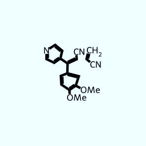 C=CC#N.COc1ccc(C(=CC#N)c2ccncc2)cc1OC